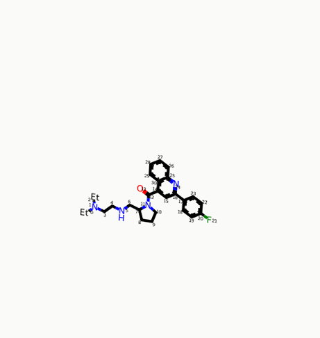 CCN(CC)CCNCC1CCCN1C(=O)c1cc(-c2ccc(F)cc2)nc2ccccc12